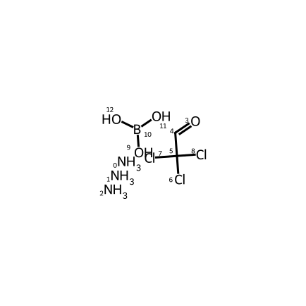 N.N.N.O=CC(Cl)(Cl)Cl.OB(O)O